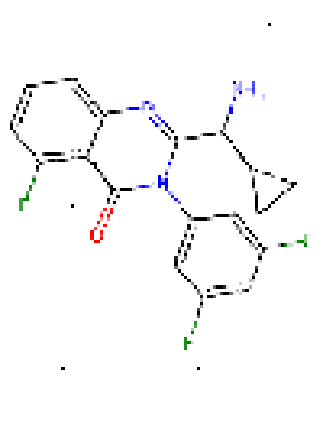 NC(c1nc2cccc(F)c2c(=O)n1-c1cc(F)cc(F)c1)C1CC1